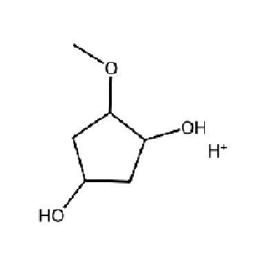 COC1CC(O)CC1O.[H+]